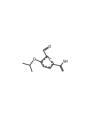 C=C(S)c1ccc(OC(C)C)c(C=O)c1